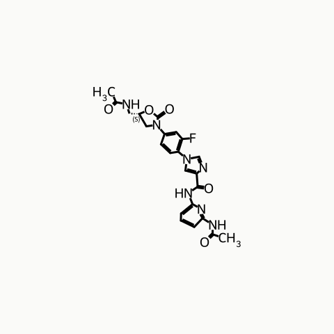 CC(=O)NC[C@H]1CN(c2ccc(-n3cnc(C(=O)Nc4cccc(NC(C)=O)n4)c3)c(F)c2)C(=O)O1